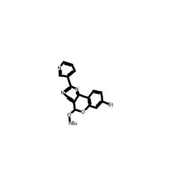 CCCCOC1Oc2cc(CC)ccc2-c2nc(-c3cccnc3)ncc21